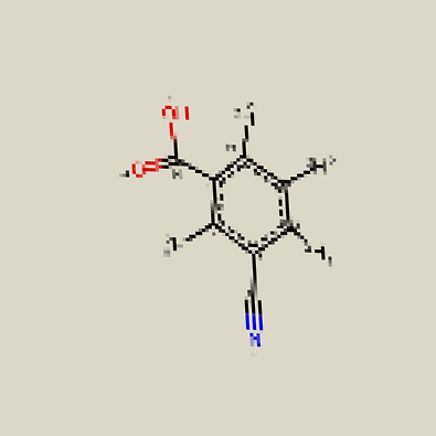 [2H]c1c([2H])c(C#N)c([2H])c(C(=O)O)c1[2H]